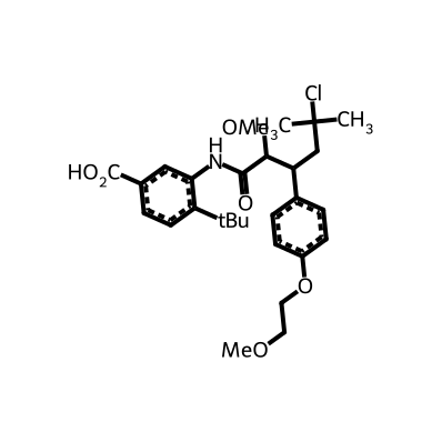 COCCOc1ccc(C(CC(C)(C)Cl)C(OC)C(=O)Nc2cc(C(=O)O)ccc2C(C)(C)C)cc1